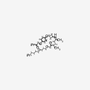 CC(C)CCCCOCCCOCC(=O)C(C)CCC(C)N[C@H]1C[C@@H](Oc2ccc(OCC(=O)C(C)C)cn2)C1